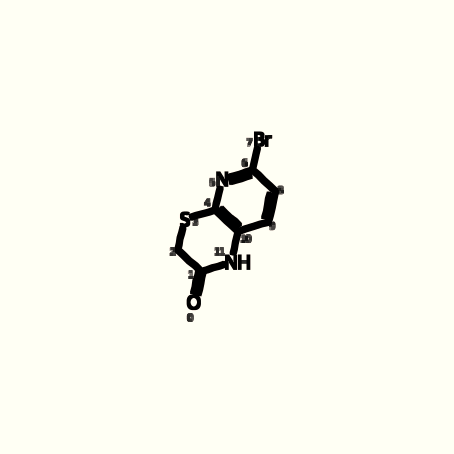 O=C1CSc2nc(Br)ccc2N1